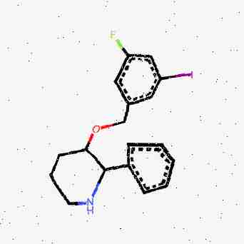 Fc1cc(I)cc(COC2CCCNC2c2ccccc2)c1